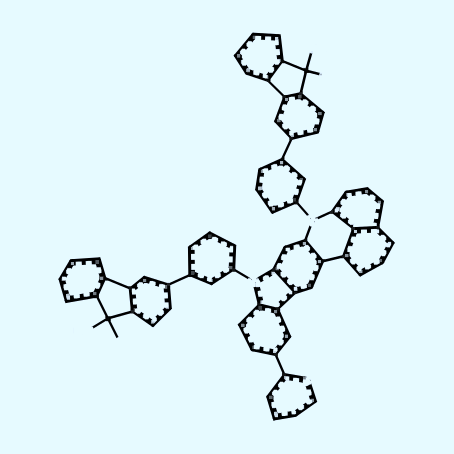 CC1(C)c2ccccc2-c2cc(-c3cccc(N4c5cc6c(cc5-c5cccc7cccc4c57)c4cc(-c5ccccn5)ccc4n6-c4cccc(-c5ccc6c(c5)-c5ccccc5C6(C)C)c4)c3)ccc21